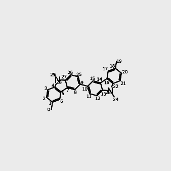 Cc1ccc2c(c1)c1cc(-c3ccc4c(c3)c3cc(C)ccc3n4C)ccc1n2C